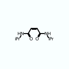 CC(C)NC(=O)/C=C\C(=O)NC(C)C